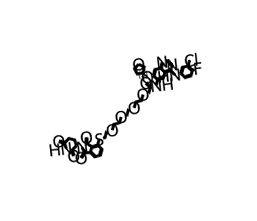 O=C1CCC(N2C(=O)c3cccc(SCCOCCOCCOCCOCC(=O)Nc4cc5c(Nc6ccc(F)c(Cl)c6)ncnc5cc4O[C@H]4CCOC4)c3C2=O)C(=O)N1